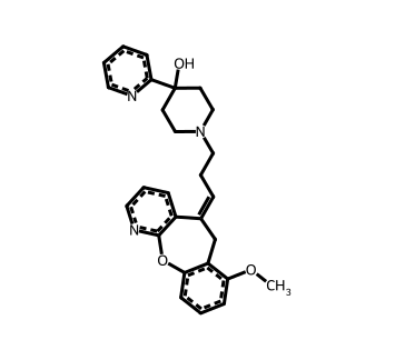 COc1cccc2c1C/C(=C/CCN1CCC(O)(c3ccccn3)CC1)c1cccnc1O2